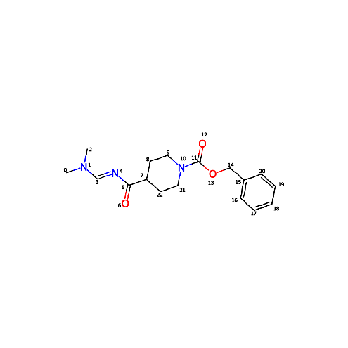 CN(C)C=NC(=O)C1CCN(C(=O)OCc2ccccc2)CC1